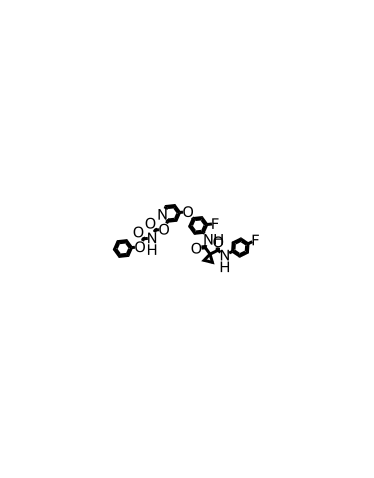 O=C(NC(=O)Oc1cc(Oc2ccc(NC(=O)C3(C(=O)Nc4ccc(F)cc4)CC3)c(F)c2)ccn1)Oc1ccccc1